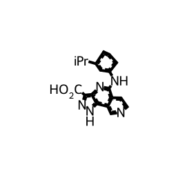 CC(C)c1cccc(Nc2nc3c(C(=O)O)n[nH]c3c3cnccc23)c1